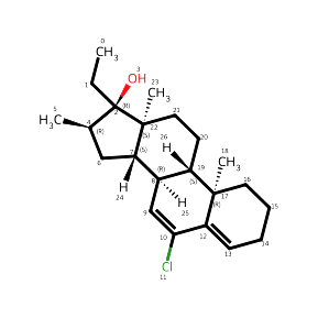 CC[C@@]1(O)[C@H](C)C[C@H]2[C@@H]3C=C(Cl)C4=CCCC[C@]4(C)[C@H]3CC[C@@]21C